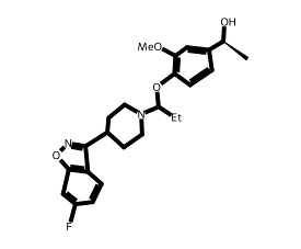 CCC(Oc1ccc([C@H](C)O)cc1OC)N1CCC(c2noc3cc(F)ccc23)CC1